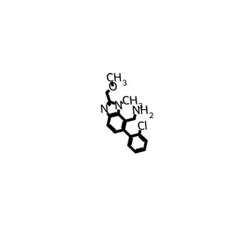 COCc1nc2ccc(-c3ccccc3Cl)c(CN)c2n1C